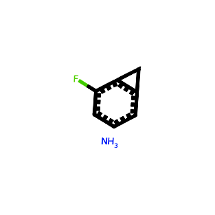 Fc1cccc2c1C2.N